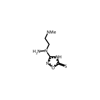 CNCCN(N)c1noc(=S)[nH]1